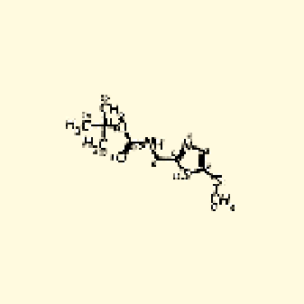 CSc1cnc(CNC(=O)OC(C)(C)C)s1